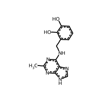 Cc1nc(NCc2cccc(O)c2O)c2nc[nH]c2n1